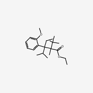 CCOC(=O)C(C)(C(C)(C)C)C(CC)(c1ccccc1OC)C(C)C